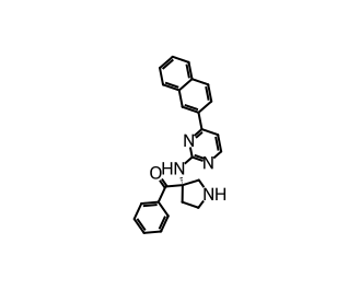 O=C(c1ccccc1)[C@]1(Nc2nccc(-c3ccc4ccccc4c3)n2)CCNC1